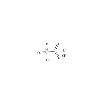 O=P(=O)[SH](=O)([O-])[O-].[Cl+].[Li+]